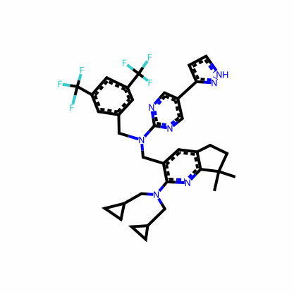 CC1(C)CCc2cc(CN(Cc3cc(C(F)(F)F)cc(C(F)(F)F)c3)c3ncc(-c4cc[nH]n4)cn3)c(N(CC3CC3)CC3CC3)nc21